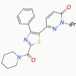 CC(C)n1nc(-c2sc(C(=O)N3CCCCC3)nc2-c2ccccc2)ccc1=O